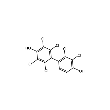 Oc1ccc(-c2c(Cl)c(Cl)c(O)c(Cl)c2Cl)c(Cl)c1Cl